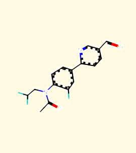 CC(=O)N(CC(F)F)c1ccc(-c2ccc(C=O)cn2)cc1F